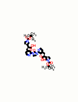 CC(C)(C)OC(=O)N1CC[C@H]([C@H](Cc2ccnc(N3CCN(c4cc(C[C@H](C(=O)O)[C@H]5CCN(C(=O)OC(C)(C)C)C5)ccn4)C3=O)c2)C(=O)O)C1